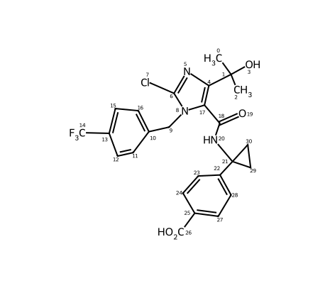 CC(C)(O)c1nc(Cl)n(Cc2ccc(C(F)(F)F)cc2)c1C(=O)NC1(c2ccc(C(=O)O)cc2)CC1